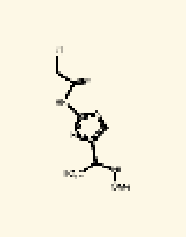 CONC(C(=O)O)c1csc(NC(=O)CCl)n1